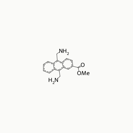 COC(=O)c1ccc2c(CN)c3ccccc3c(CN)c2c1